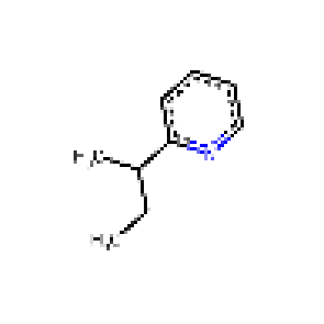 CCC(C)c1ccc[c]n1